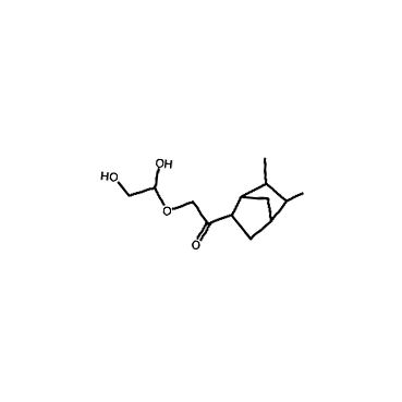 CC1C2CC(C(=O)COC(O)CO)C(C2)C1C